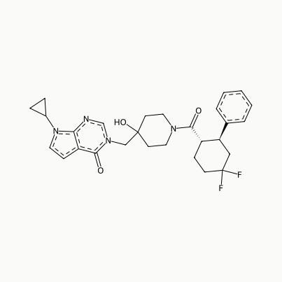 O=C([C@H]1CCC(F)(F)C[C@@H]1c1ccccc1)N1CCC(O)(Cn2cnc3c(ccn3C3CC3)c2=O)CC1